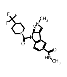 CNC(=O)c1ccc2c(c1)c1cn(C)nc1n2C(=O)N1CCC(C(F)(F)F)CC1